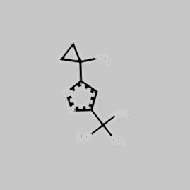 CC(C)(C)c1cc(C2(C)CC2)on1